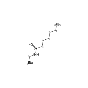 CCC(C)CNC(=O)CCCCCC(C)(C)C